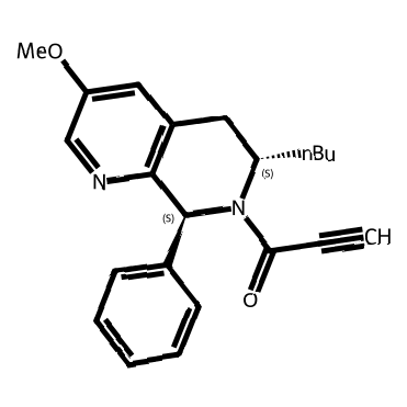 C#CC(=O)N1[C@@H](CCCC)Cc2cc(OC)cnc2[C@@H]1c1ccccc1